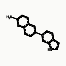 Nc1ccc2cc(-c3ccc4cc[nH]c4c3)ccc2n1